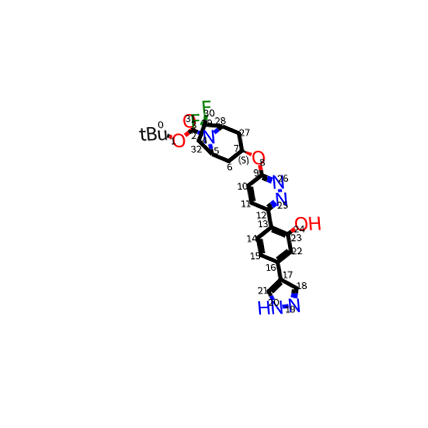 CC(C)(C)OC(=O)N1C2C[C@H](Oc3ccc(-c4ccc(-c5cn[nH]c5)cc4O)nn3)CC1C(F)(F)C2